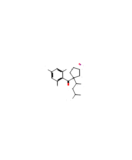 CCCCC(CC)CC(C(=O)O)C1(C(=O)c2c(C)cc(C)cc2C)CCCC1.O=P